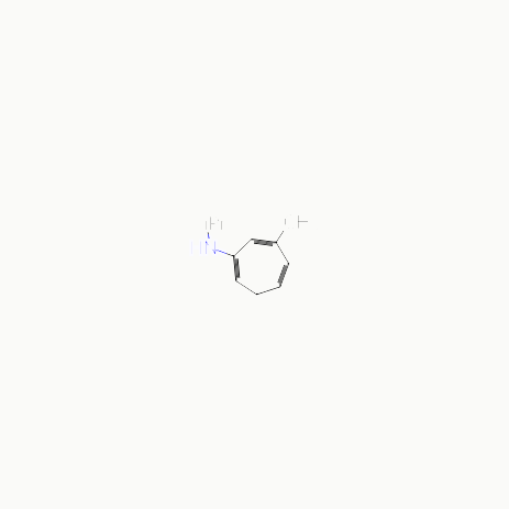 CC1=CC(NC(C)C)=CCC=C1